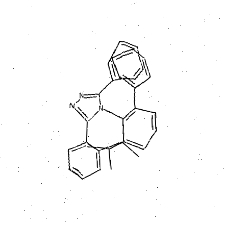 CCc1ccccc1-c1nnc(-c2ccccc2)n1-c1c(-c2ccccc2)cccc1C(C)C